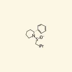 CC(C)C[S+]([O-])N1CCCC[C@@H]1c1ccccc1